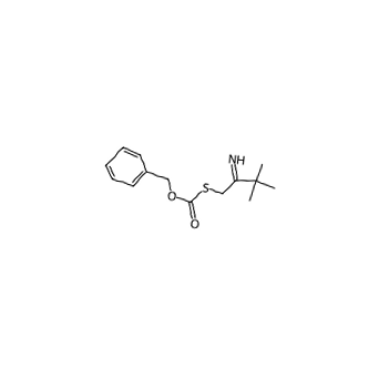 CC(C)(C)C(=N)CSC(=O)OCc1ccccc1